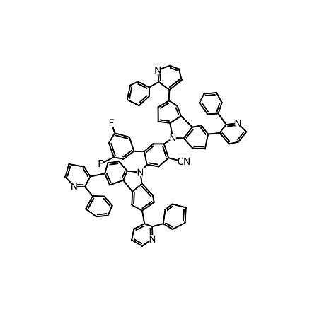 N#Cc1cc(-n2c3ccc(-c4cccnc4-c4ccccc4)cc3c3cc(-c4cccnc4-c4ccccc4)ccc32)c(-c2cc(F)cc(F)c2)cc1-n1c2ccc(-c3cccnc3-c3ccccc3)cc2c2cc(-c3cccnc3-c3ccccc3)ccc21